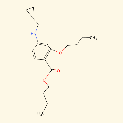 CCCCOC(=O)c1ccc(NCC2CC2)cc1OCCCC